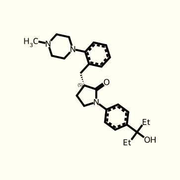 CCC(O)(CC)c1ccc(N2CC[C@H](Cc3ccccc3N3CCN(C)CC3)C2=O)cc1